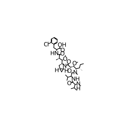 CC[C@H](C)[C@@H]([C@@H](CC(=O)N1[C@H]2C[C@H]2C[C@H]1[C@H](OC)[C@@H](C)C(=O)NC(Cc1ccccc1Cl)C(=O)O)OC)N(C)C(=O)C(NC(=O)C(NC)C(C)C)C(C)C